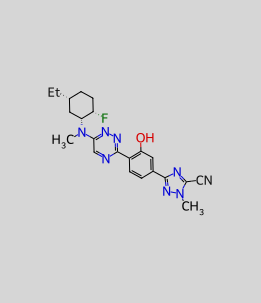 CC[C@@H]1CC[C@H](F)[C@H](N(C)c2cnc(-c3ccc(-c4nc(C#N)n(C)n4)cc3O)nn2)C1